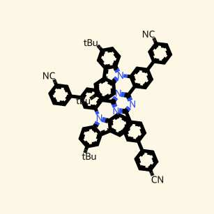 CC(C)(C)c1ccc2c(c1)c1ccccc1n2-c1cc(-c2cccc(C#N)c2)ccc1-c1nc(-c2ccc(-c3ccc(C#N)cc3)cc2)nc(-c2ccc(-c3cccc(C#N)c3)cc2-n2c3ccc(C(C)(C)C)cc3c3cc(C(C)(C)C)ccc32)n1